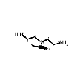 CC#N.NCCNCCN